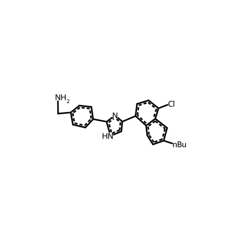 CCCCc1ccc2c(-c3c[nH]c(-c4ccc(CN)cc4)n3)ccc(Cl)c2c1